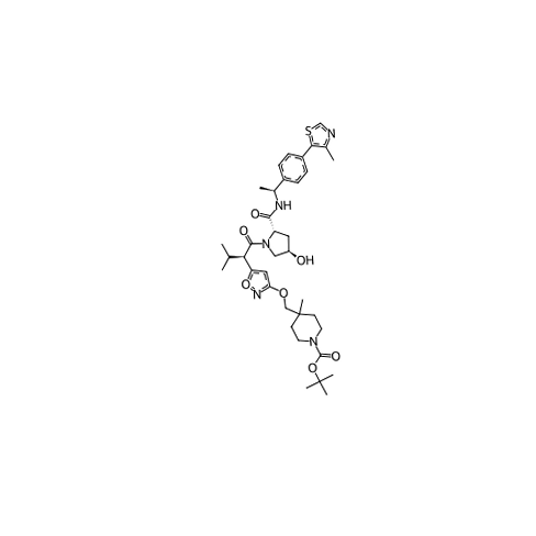 Cc1ncsc1-c1ccc([C@H](C)NC(=O)[C@@H]2C[C@@H](O)CN2C(=O)[C@@H](c2cc(OCC3(C)CCN(C(=O)OC(C)(C)C)CC3)no2)C(C)C)cc1